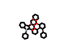 c1ccc(-c2ccccc2-c2c(-c3ccccc3)cccc2N(c2ccccc2)c2ccc3c(c2)c2ccccc2n3-c2ccccc2)cc1